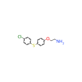 NCCOc1ccc(Sc2ccc(Cl)cc2)cc1